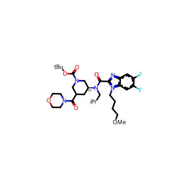 COCCCCn1c(C(=O)N(CC(C)C)[C@H]2CC(C(=O)N3CCOCC3)CN(C(=O)OC(C)(C)C)C2)nc2cc(F)c(F)cc21